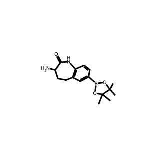 CC1(C)OB(c2ccc3c(c2)CCC(N)C(=O)N3)OC1(C)C